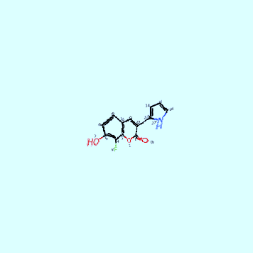 O=c1oc2c(F)c(O)ccc2cc1-c1ccc[nH]1